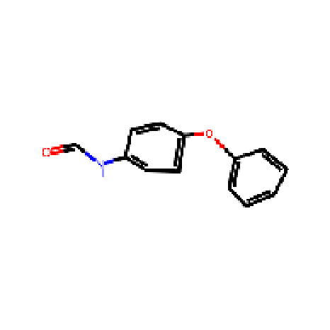 O=CNc1ccc(Oc2ccccc2)cc1